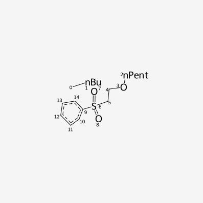 CCCCC.CCCCCOCCS(=O)(=O)c1ccccc1